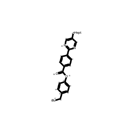 CCCCCCCc1cnc(-c2ccc(C(=O)Oc3ccc(CC(C)CC)cc3)cc2)nc1